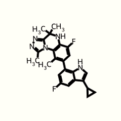 Cc1c(-c2cc(F)cc3c(C4CC4)c[nH]c23)cc(F)c2c1-n1c(C)nnc1C(C)(C)N2